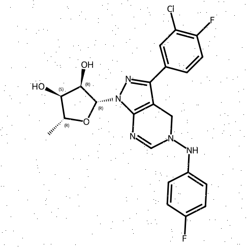 C[C@H]1O[C@@H](n2nc(-c3ccc(F)c(Cl)c3)c3c2N=CN(Nc2ccc(F)cc2)C3)[C@H](O)[C@@H]1O